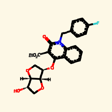 CCOC(=O)c1c(O[C@H]2CO[C@H]3[C@@H]2OC[C@@H]3O)c2ccccc2n(Cc2ccc(F)cc2)c1=O